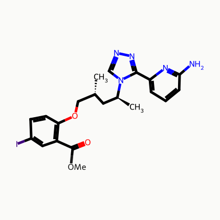 COC(=O)c1cc(I)ccc1OC[C@H](C)C[C@H](C)n1cnnc1-c1cccc(N)n1